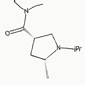 CC(C)N1C[C@@H](C(=O)N(C)C)C[C@H]1C